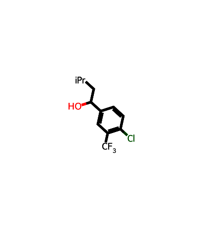 CC(C)CC(O)c1ccc(Cl)c(C(F)(F)F)c1